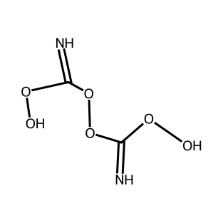 N=C(OO)OOC(=N)OO